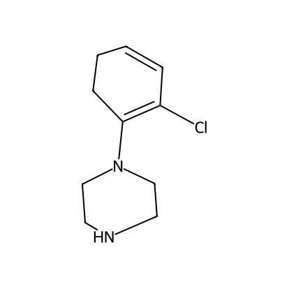 ClC1=C(N2CCNCC2)CCC=C1